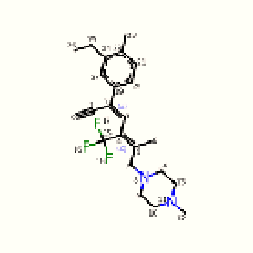 C#C/C(=C\C(=C(/C)CN1CCN(C)CC1)C(F)(F)F)c1ccc(C)c(CC)c1